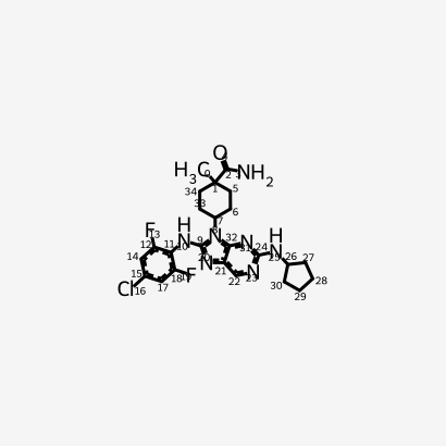 CC1(C(N)=O)CCC(n2c(Nc3c(F)cc(Cl)cc3F)nc3cnc(NC4CCCC4)nc32)CC1